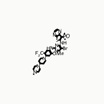 COc1cc(N2CCC(N3CCN(C)CC3)CC2)c(C(F)(F)F)cc1Nc1ncc(Br)c(Nc2sc3nccnc3c2P(C)(C)=O)n1